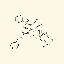 O=C(OCc1ccccc1)N1CC[C@]2(NS(=O)(=O)Oc3c(F)cccc3F)c3ccccc3N(S(=O)(=O)c3ccccc3)[C@@H]12